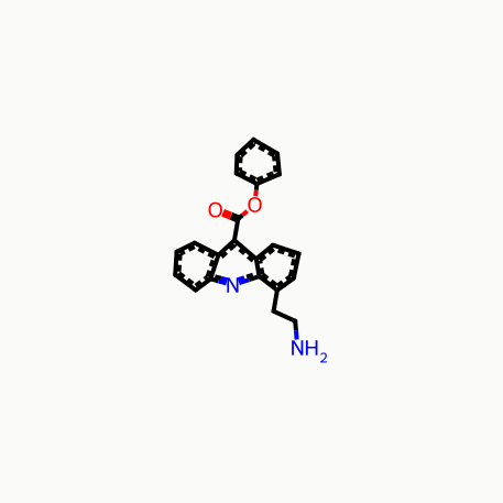 NCCc1cccc2c(C(=O)Oc3ccccc3)c3ccccc3nc12